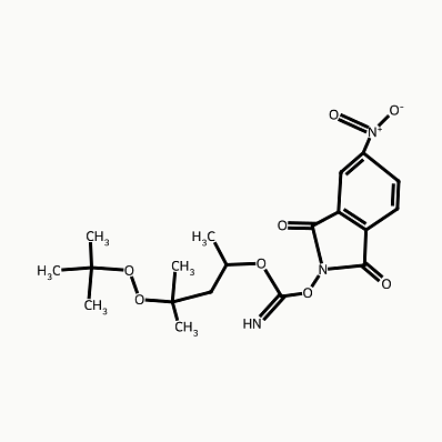 CC(CC(C)(C)OOC(C)(C)C)OC(=N)ON1C(=O)c2ccc([N+](=O)[O-])cc2C1=O